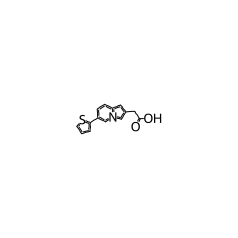 O=C(O)Cc1cc2ccc(-c3cccs3)cn2c1